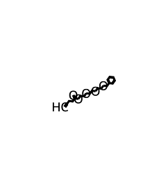 C#CCCC(=O)OCCOCCOCCOCc1ccccc1